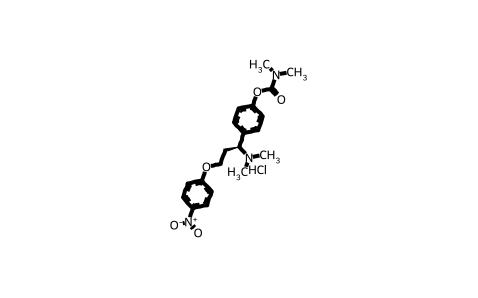 CN(C)C(=O)Oc1ccc([C@H](CCOc2ccc([N+](=O)[O-])cc2)N(C)C)cc1.Cl